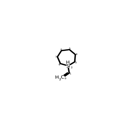 C=C[SiH]1CCCCCC1